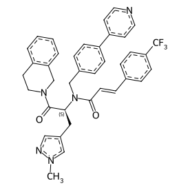 Cn1cc(C[C@@H](C(=O)N2CCc3ccccc3C2)N(Cc2ccc(-c3ccncc3)cc2)C(=O)C=Cc2ccc(C(F)(F)F)cc2)cn1